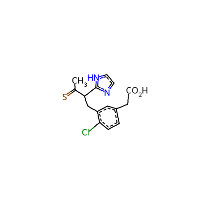 CC(=S)C(Cc1cc(CC(=O)O)ccc1Cl)c1ncc[nH]1